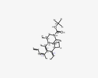 C=C\N=C(C)/C(C(=C\C)/C1CCC1)=C(\C)N1CC(C)N(C(=O)OC(C)(C)C)C[C@@H]1C